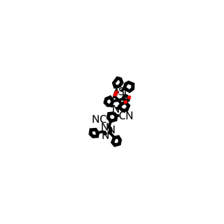 N#Cc1cc(N2c3ccccc3C3(c4ccccc42)c2ccccc2[Si](c2ccccc2)(c2ccccc2)c2ccccc23)c(C#N)cc1-c1nc(-c2ccccc2)nc(-c2ccccc2)n1